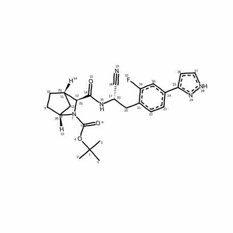 CC(C)(C)OC(=O)N1[C@@H]2CC[C@@H](C2)[C@H]1C(=O)N[C@H](C#N)Cc1ccc(-c2cc[nH]n2)cc1F